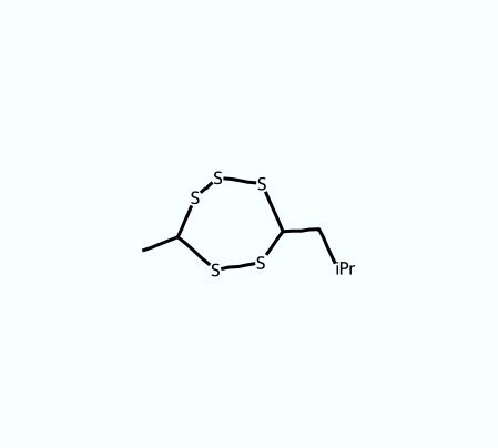 CC(C)CC1SSSC(C)SS1